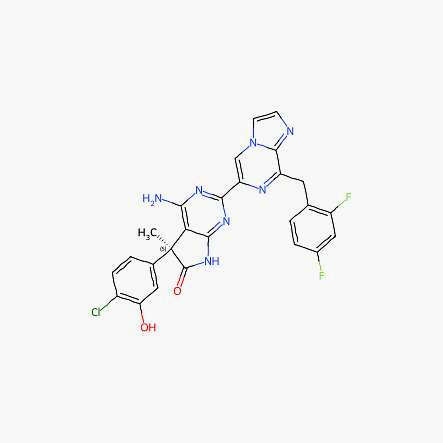 C[C@@]1(c2ccc(Cl)c(O)c2)C(=O)Nc2nc(-c3cn4ccnc4c(Cc4ccc(F)cc4F)n3)nc(N)c21